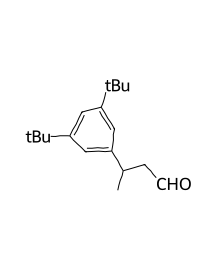 CC(CC=O)c1cc(C(C)(C)C)cc(C(C)(C)C)c1